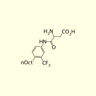 CCCCCCCCc1ccc(NC(=O)C(N)CC(=O)O)cc1C(F)(F)F